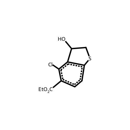 CCOC(=O)c1ccc2c(c1Cl)C(O)CS2